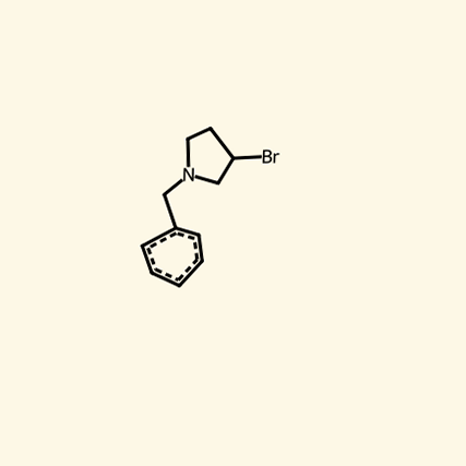 BrC1CCN(Cc2ccccc2)C1